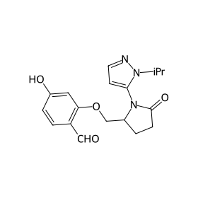 CC(C)n1nccc1N1C(=O)CCC1COc1cc(O)ccc1C=O